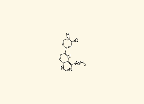 O=c1cc(-c2ccc3ncnc([AsH2])c3n2)cc[nH]1